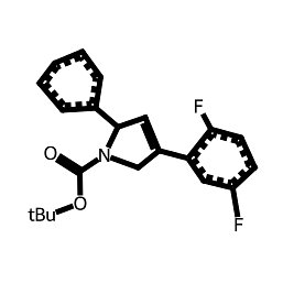 CC(C)(C)OC(=O)N1CC(c2cc(F)ccc2F)=CC1c1ccccc1